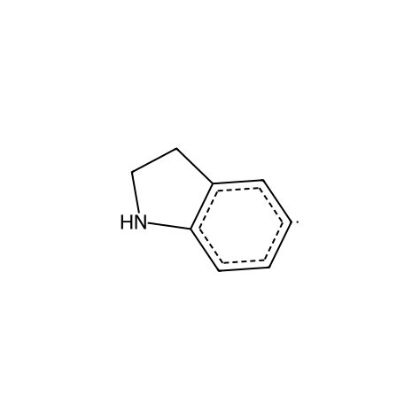 [c]1ccc2c(c1)CCN2